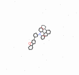 c1ccc(N(c2cccc(-c3ccc4c(c3)oc3ccccc34)c2)c2ccccc2-c2cccc3cccc(C4CCCCC4)c23)cc1